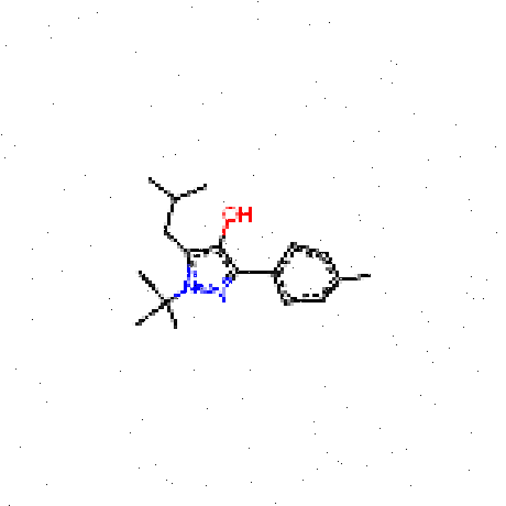 Cc1ccc(-c2nn(C(C)(C)C)c(CC(C)C)c2O)cc1